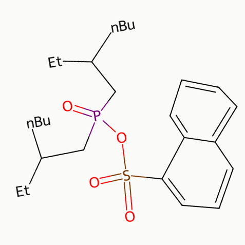 CCCCC(CC)CP(=O)(CC(CC)CCCC)OS(=O)(=O)c1cccc2ccccc12